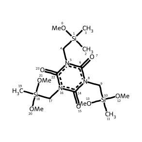 CO[Si](C)(C)Cn1c(=O)n(C[Si](C)(OC)OC)c(=O)n(C[Si](C)(OC)OC)c1=O